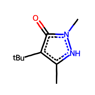 Cc1[nH]n(C)c(=O)c1C(C)(C)C